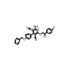 [C-]#[N+]c1c(N)nc(SCC(=O)c2ccc(F)cc2)c(C#N)c1-c1ccc(OCc2ccccc2)cc1